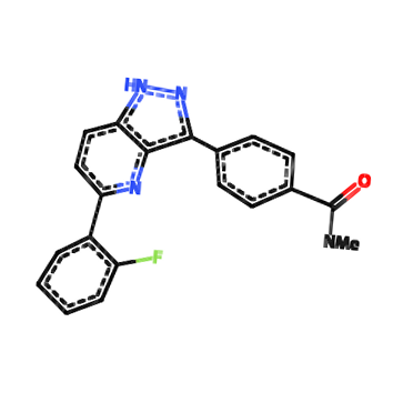 CNC(=O)c1ccc(-c2n[nH]c3ccc(-c4ccccc4F)nc23)cc1